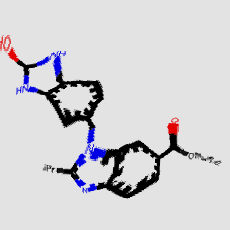 COC(=O)c1ccc2nc(C(C)C)n(-c3ccc4c(c3)NC(O)N4)c2c1